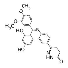 COc1ccc(C(=Nc2ccc(C3=NNC(=O)CC3)cc2)c2ccc(O)cc2O)cc1OC